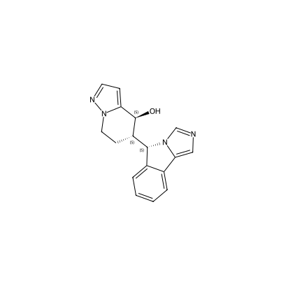 O[C@@H]1c2ccnn2CC[C@H]1[C@H]1c2ccccc2-c2cncn21